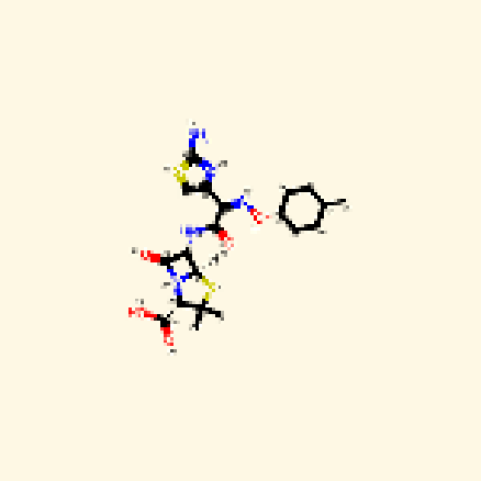 CC1(C)S[C@@H]2[C@@H](NC(=O)/C(=N\O[C@H]3CC[C@H](C)CC3)c3csc(N)n3)C(=O)N2[C@H]1C(=O)O